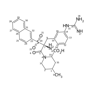 CC1CCN(C(=O)[C@@](N)(Cc2cccc(NC(=N)N)c2)S(=O)(=O)c2ccc3ccccc3c2)C(C(=O)O)C1